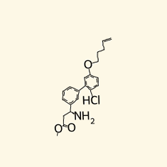 C=CCCCOc1ccc(C)c(-c2cccc([C@@H](N)CC(=O)OC)c2)c1.Cl